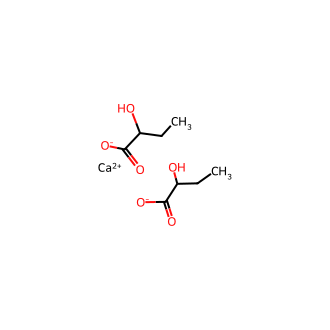 CCC(O)C(=O)[O-].CCC(O)C(=O)[O-].[Ca+2]